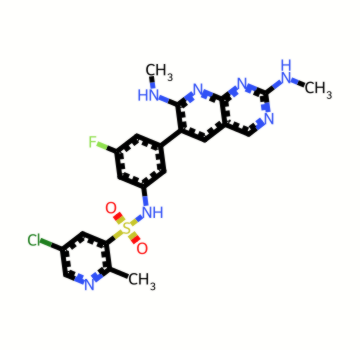 CNc1ncc2cc(-c3cc(F)cc(NS(=O)(=O)c4cc(Cl)cnc4C)c3)c(NC)nc2n1